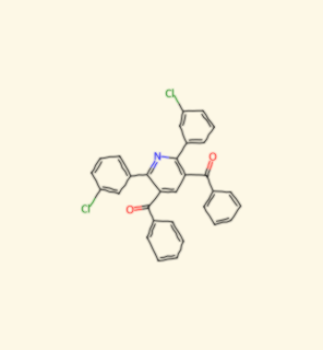 O=C(c1ccccc1)c1cc(C(=O)c2ccccc2)c(-c2cccc(Cl)c2)nc1-c1cccc(Cl)c1